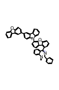 C=Nc1ccccc1/C(=N\Cc1ccccc1)c1cccc2oc3c(-n4c5ccccc5c5cc(-c6ccc7oc8ccccc8c7c6)ccc54)cccc3c12